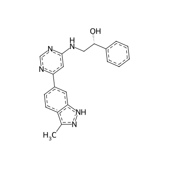 Cc1n[nH]c2cc(-c3cc(NC[C@H](O)c4ccccc4)ncn3)ccc12